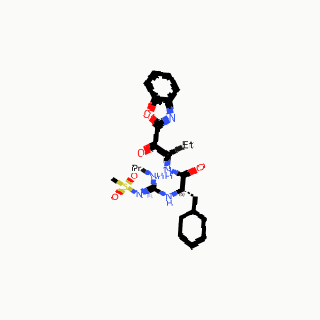 CCC(NC(=O)[C@H](CC1CCCCC1)N/C(=N/S(C)(=O)=O)NC(C)C)C(=O)c1nc2ccccc2o1